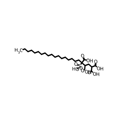 CCCCCCCCCCCCCCCCCCC(C(=O)O)(C(CC(C(=O)O)C(=O)O)C(=O)O)S(=O)(=O)O